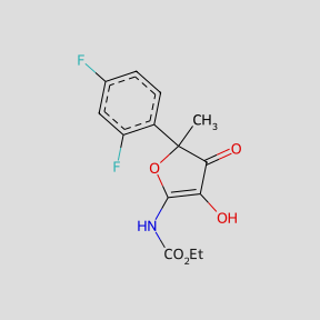 CCOC(=O)NC1=C(O)C(=O)C(C)(c2ccc(F)cc2F)O1